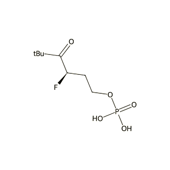 CC(C)(C)C(=O)[C@H](F)CCOP(=O)(O)O